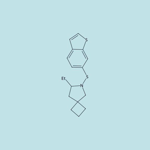 CCC1CC2(CCC2)CN1Sc1ccc2ccsc2c1